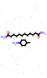 CC1CCC(N)CC1.NC(=O)CCCCCCCCCCC(N)=O